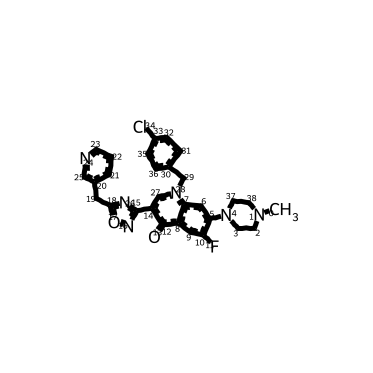 CN1CCN(c2cc3c(cc2F)c(=O)c(-c2noc(Cc4cccnc4)n2)cn3Cc2ccc(Cl)cc2)CC1